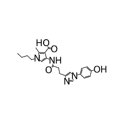 CCCCn1cc(NC(=O)CCc2cn(-c3ccc(O)cc3)cn2)c(C(=O)O)c1C